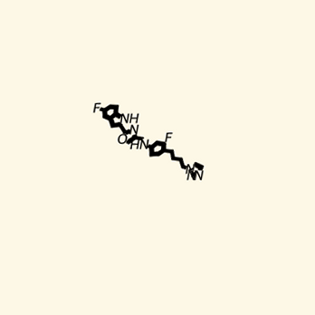 Fc1ccc2[nH]c(-c3nc(CNc4ccc(CCCCn5ccnn5)c(F)c4)co3)cc2c1